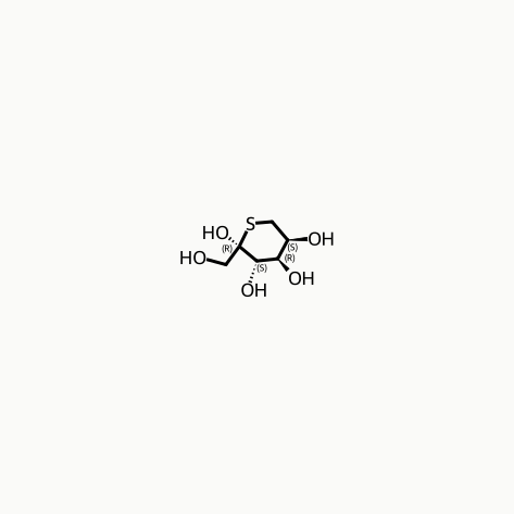 OC[C@@]1(O)SC[C@@H](O)[C@@H](O)[C@@H]1O